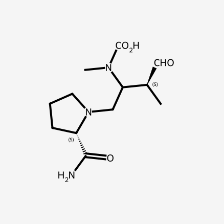 C[C@H](C=O)C(CN1CCC[C@H]1C(N)=O)N(C)C(=O)O